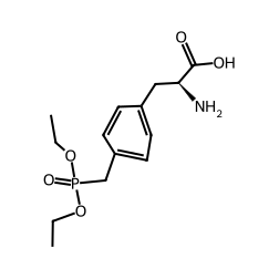 CCOP(=O)(Cc1ccc(C[C@H](N)C(=O)O)cc1)OCC